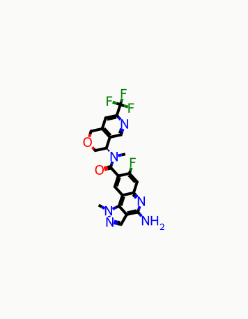 CN(C(=O)c1cc2c(cc1F)nc(N)c1cnn(C)c12)[C@@H]1COCc2cc(C(F)(F)F)ncc21